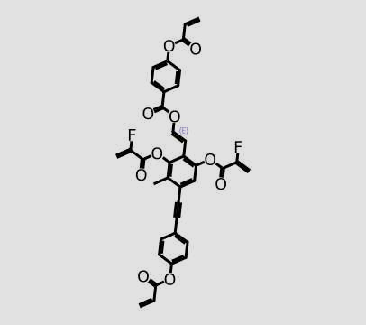 C=CC(=O)Oc1ccc(C#Cc2cc(OC(=O)C(=C)F)c(/C=C/OC(=O)c3ccc(OC(=O)C=C)cc3)c(OC(=O)C(=C)F)c2C)cc1